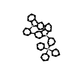 c1ccc([Si](c2ccccc2)(c2ccccc2)c2cccc(-n3c4ccccc4c4cc(-c5ccccc5-n5c6ccccc6c6ccccc65)ccc43)c2)cc1